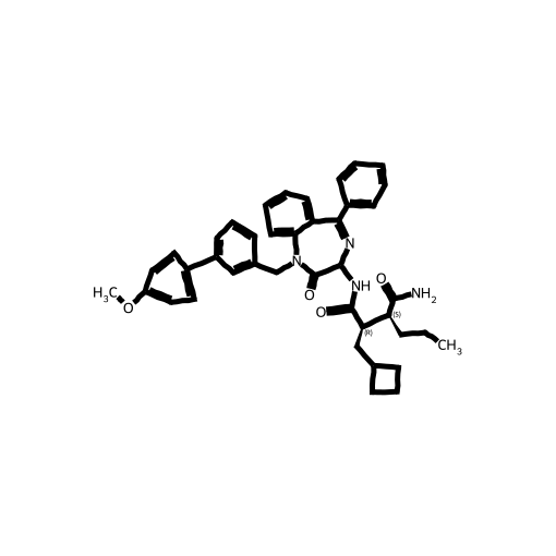 CCC[C@H](C(N)=O)[C@@H](CC1CCC1)C(=O)NC1N=C(c2ccccc2)c2ccccc2N(Cc2cccc(-c3ccc(OC)cc3)c2)C1=O